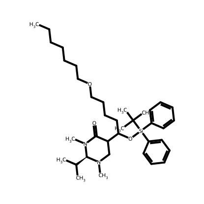 CCCCCCCOCCCCC(O[Si](c1ccccc1)(c1ccccc1)C(C)(C)C)C1CN(C)[C@@H](C(C)C)N(C)C1=O